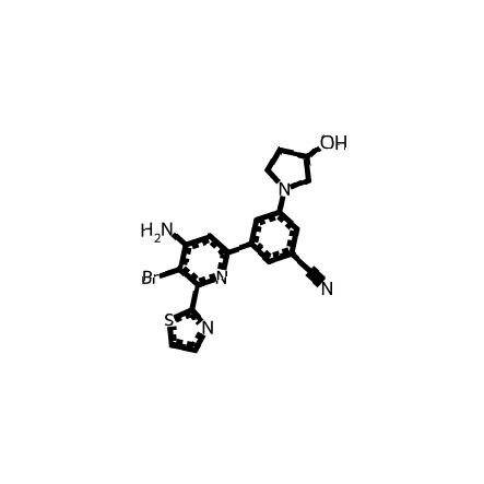 N#Cc1cc(-c2cc(N)c(Br)c(-c3nccs3)n2)cc(N2CCC(O)C2)c1